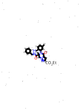 CCOC(=O)c1cc2n(n1)CC(C)(C(=O)NCc1ccccc1)N(c1cc(C)ccc1C)C2=O